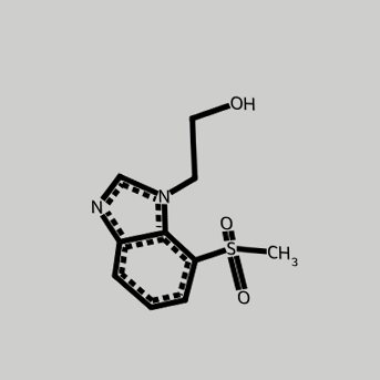 CS(=O)(=O)c1cccc2ncn(CCO)c12